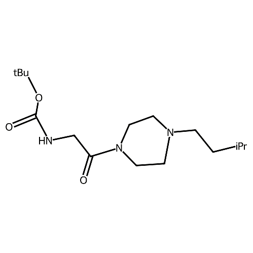 CC(C)CCN1CCN(C(=O)CNC(=O)OC(C)(C)C)CC1